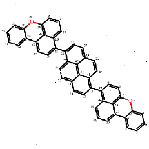 c1ccc2c(c1)Oc1ccc(-c3ccc4ccc5c(-c6ccc7c8c(cccc68)Oc6ccccc6-7)ccc6ccc3c4c65)c3cccc-2c13